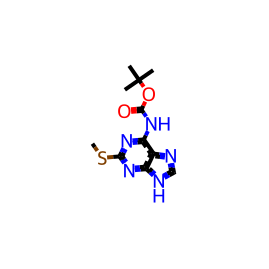 CSc1nc(NC(=O)OC(C)(C)C)c2nc[nH]c2n1